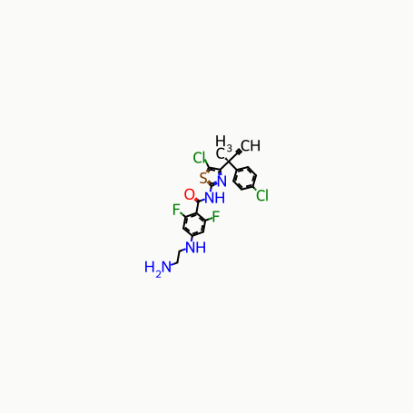 C#C[C@](C)(c1ccc(Cl)cc1)c1nc(NC(=O)c2c(F)cc(NCCN)cc2F)sc1Cl